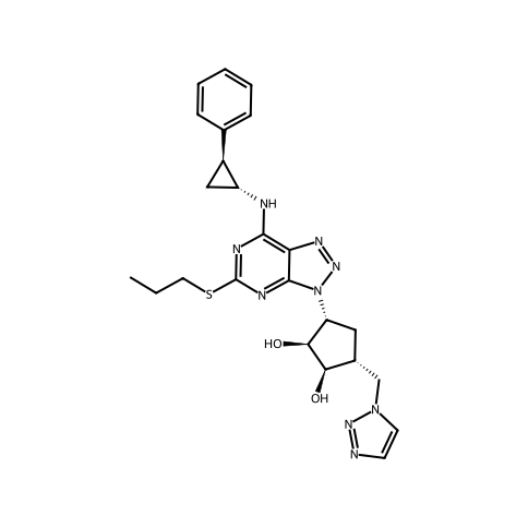 CCCSc1nc(N[C@@H]2C[C@H]2c2ccccc2)c2nnn([C@@H]3C[C@H](Cn4ccnn4)[C@@H](O)[C@H]3O)c2n1